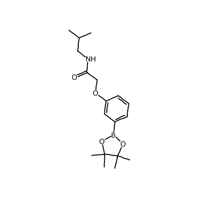 CC(C)CNC(=O)COc1cccc(B2OC(C)(C)C(C)(C)O2)c1